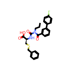 CCCN(C(=O)N[C@@H](CSCc1ccccc1)C(=O)O)C(=O)c1cccc(-c2ccc(F)cc2)c1